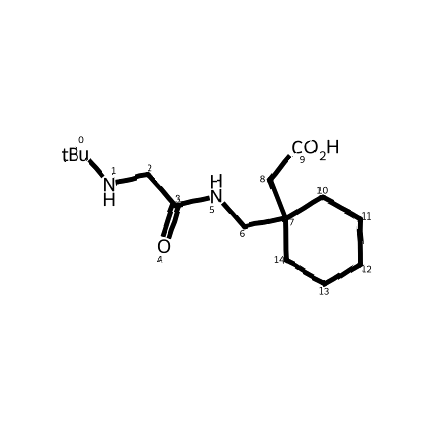 CC(C)(C)NCC(=O)NCC1(CC(=O)O)CCCCC1